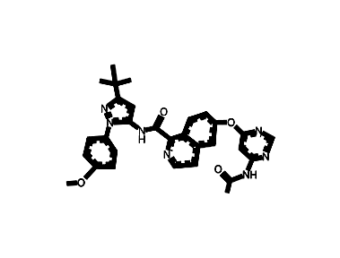 COc1ccc(-n2nc(C(C)(C)C)cc2NC(=O)c2nccc3cc(Oc4cc(NC(C)=O)ncn4)ccc23)cc1